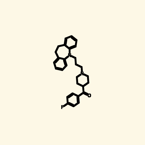 O=C(c1ccc(F)cc1)C1CCN(CCCN2c3ccccc3CCc3ccccc32)CC1